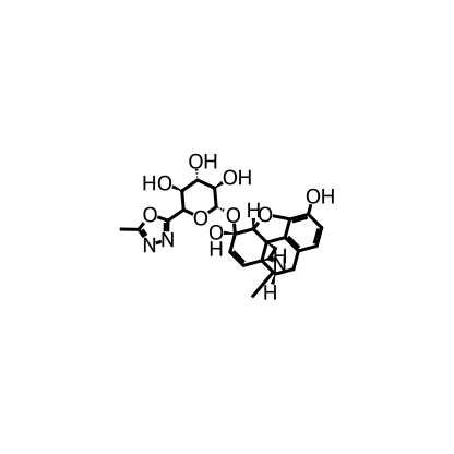 Cc1nnc(C2O[C@@H](O[C@@]3(O)C=C[C@H]4[C@H]5Cc6ccc(O)c7c6[C@@]4(CCN5C)[C@H]3O7)[C@H](O)[C@@H](O)[C@@H]2O)o1